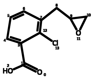 O=C(O)c1cccc(CC2CO2)c1Cl